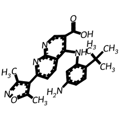 Cc1noc(C)c1-c1ccc2c(Nc3cc(N)ccc3C(C)(C)C)c(C(=O)O)cnc2n1